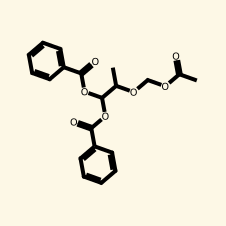 CC(=O)OCOC(C)C(OC(=O)c1ccccc1)OC(=O)c1ccccc1